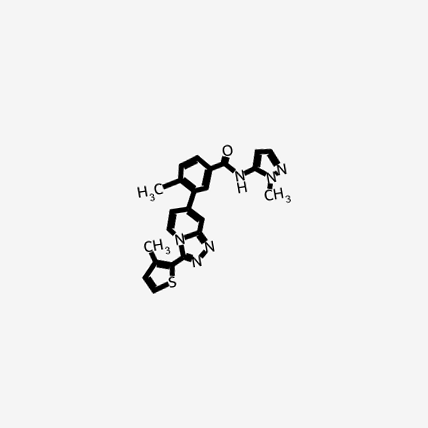 Cc1ccc(C(=O)Nc2ccnn2C)cc1-c1ccn2c(-c3sccc3C)nnc2c1